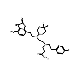 NC(=O)CCN(CCc1ccc(F)cc1)CCN(CCc1ccc(O)c2[nH]c(=O)sc12)C1CCC(F)(F)CC1